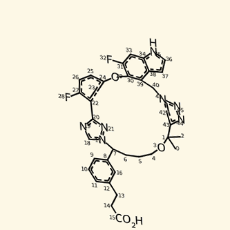 CC1(C)OCCCC(c2cccc(CCC(=O)O)c2)n2cnc(n2)-c2cc(ccc2F)Oc2c(F)cc3[nH]ccc3c2Cn2cc1nn2